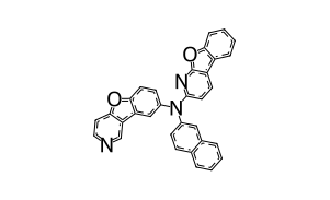 c1ccc2cc(N(c3ccc4oc5ccncc5c4c3)c3ccc4c(n3)oc3ccccc34)ccc2c1